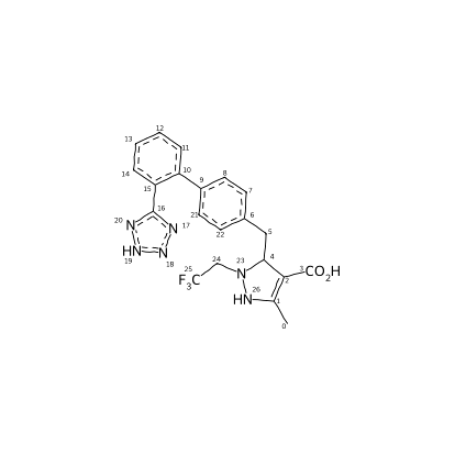 CC1=C(C(=O)O)C(Cc2ccc(-c3ccccc3-c3nn[nH]n3)cc2)N(CC(F)(F)F)N1